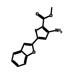 COC(=O)c1sc(-c2cc3ccccc3o2)cc1N